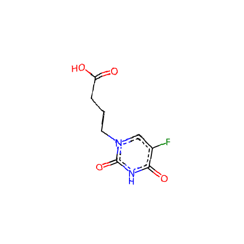 O=C(O)CCCn1cc(F)c(=O)[nH]c1=O